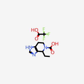 CCC1c2nc[nH]c2CCN1C(=O)O.O=C(O)C(F)(F)F